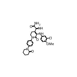 COc1ccc(NC2=C(C(=N)C(N)=O)CCN(c3ccc(N4CCCCC4=O)cc3)C2=O)cc1Cl